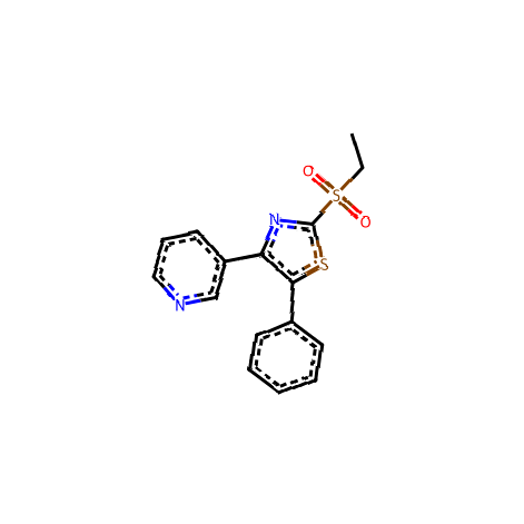 CCS(=O)(=O)c1nc(-c2cccnc2)c(-c2ccccc2)s1